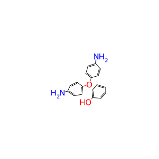 Nc1ccc(Oc2ccc(N)cc2)cc1.Oc1ccccc1